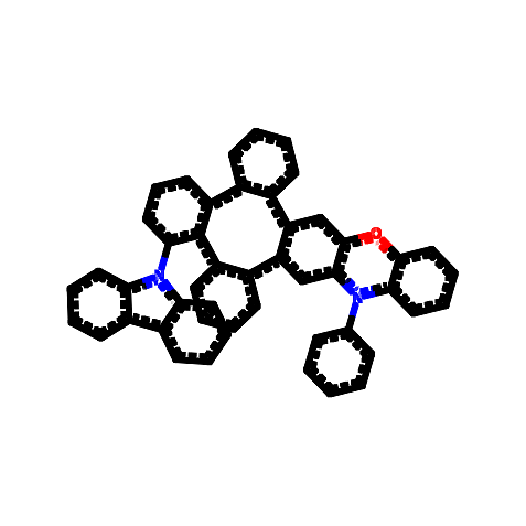 c1ccc(-n2c3ccccc3oc3cc4c5ccccc5c5cccc(-n6c7ccccc7c7ccccc76)c5c5ccccc5c4cc32)cc1